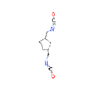 O=C=NCC1CCC(CN=C=O)C1